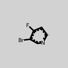 Fc1c[c]ncc1Br